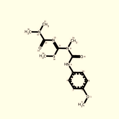 COc1ccc(NC(=O)N(C)C(=NC(=O)N(C)C)SC)cc1